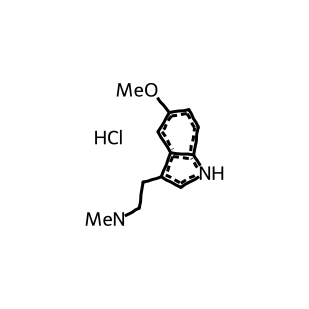 CNCCc1c[nH]c2ccc(OC)cc12.Cl